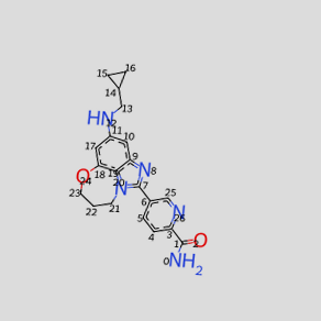 NC(=O)c1ccc(-c2nc3cc(NCC4CC4)cc4c3n2CCCO4)cn1